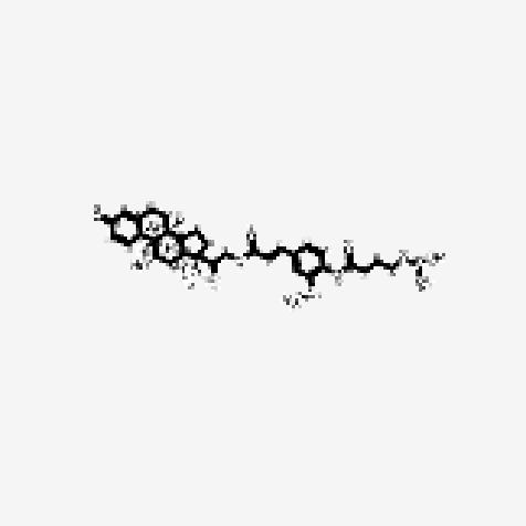 COc1cc(/C=C/C(=O)OCC(=O)[C@@]2(C)CC[C@H]3[C@@H]4CCC5=CC(=O)C=C[C@]5(C)[C@H]4[C@@H](O)C[C@@]32C)ccc1OC(=O)CCCON(O)O